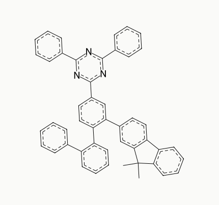 CC1(C)c2ccccc2-c2ccc(-c3cc(-c4nc(-c5ccccc5)nc(-c5ccccc5)n4)ccc3-c3ccccc3-c3ccccc3)cc21